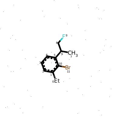 CCc1cccc([C](C)CF)c1Br